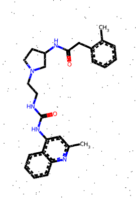 Cc1cc(NC(=O)NCCN2CCC(NC(=O)Cc3ccccc3C)C2)c2ccccc2n1